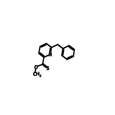 COC(=S)c1cccc(Cc2ccccc2)n1